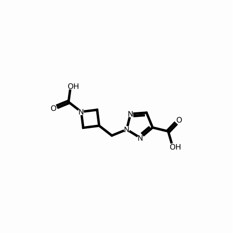 O=C(O)c1cnn(CC2CN(C(=O)O)C2)n1